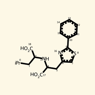 CC(C)CC(NC(Cc1csc(-c2ccccc2)n1)C(=O)O)C(=O)O